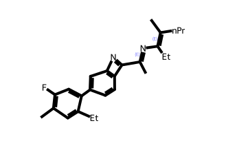 CCC/C(C)=C(CC)/N=C(\C)C1=Nc2cc(-c3cc(F)c(C)cc3CC)ccc21